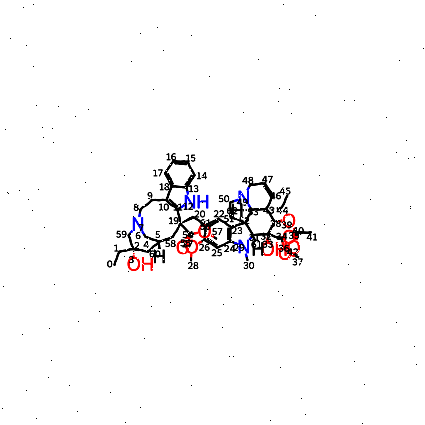 CC[C@]1(O)C[C@@H]2CN(CCc3c([nH]c4ccccc34)[C@](Cc3cc4c(cc3OC)N(C)[C@H]3[C@@](O)(C(=O)OC)[C@H](OC(C)=O)[C@]5(CC)C=CCN6CC[C@]43[C@@H]65)(C(=O)OC)C2)C1